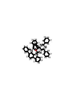 C1=CCCC(n2c3ccccc3c3ccc4c5ccccc5n(-c5nc(-c6ccccc6)c6nc(C7=CCCC=C7)nc(-c7ccccc7)c6n5)c4c32)=C1